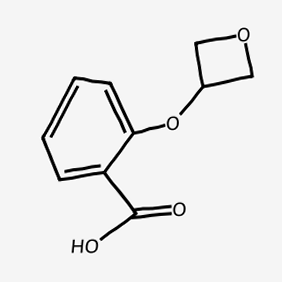 O=C(O)c1ccccc1OC1COC1